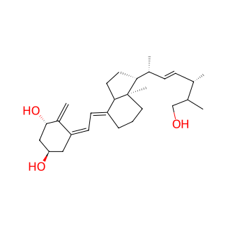 C=C1C(=CC=C2CCC[C@@]3(C)C2CC[C@@H]3[C@H](C)/C=C/[C@H](C)C(C)CO)C[C@@H](O)C[C@@H]1O